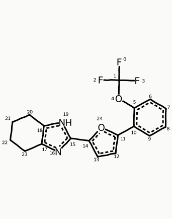 FC(F)(F)Oc1ccccc1-c1ccc(-c2nc3c([nH]2)CCCC3)o1